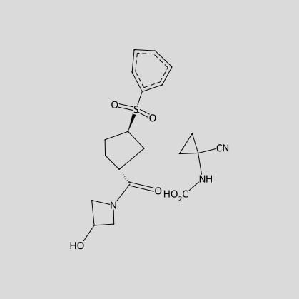 N#CC1(NC(=O)O)CC1.O=C([C@@H]1CC[C@@H](S(=O)(=O)c2ccccc2)C1)N1CC(O)C1